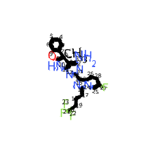 CC1(c2ccccc2)C(=O)Nc2nc(-c3nc(CCCC(F)(F)F)n4cc(F)ccc34)nc(N)c21